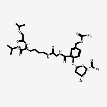 BC(=O)OCc1ccc(O[C@H]2C[C@@H](O)C[C@@H](C(=O)O)O2)c(C(=O)NCC(=O)NCCCC[C@H](NC(=O)COC(C)C)C(=O)NC(C)C)c1